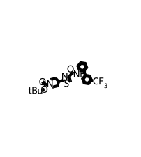 CC(C)(C)OC(=O)N1CCC(c2nc(C(=O)Nc3ccccc3-c3cccc(C(F)(F)F)c3)cs2)CC1